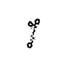 O=C(NCCCNC(=O)C(c1ccccc1)c1ccccc1)NCc1ccccc1